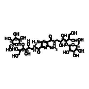 Nc1nc(C(=O)NCC(O)[C@@H](O)[C@H](O[C@@H]2O[C@H](CO)[C@@H](O)[C@H](O)[C@H]2O)C(O)CO)c(N)nc1C(=O)NCC(O)[C@@H](O)[C@H](O[C@@H]1O[C@H](CO)[C@@H](O)[C@H](O)[C@H]1O)C(O)CO